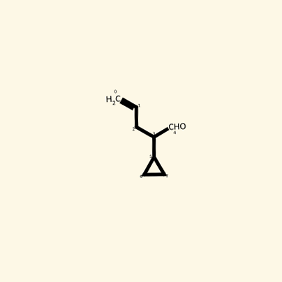 C=CCC(C=O)C1CC1